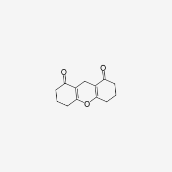 O=C1CCCC2=C1CC1=C(CCCC1=O)O2